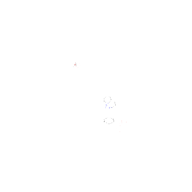 COC(=O)c1cccc(CCc2ccc3ccc(C(CCCCCCCCO[SiH](C)C)C(C)(C)C)cc3n2)c1